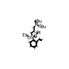 C=Cc1ccccc1[Si](CCCN(CCCC)CCCC)(OCC)OCC